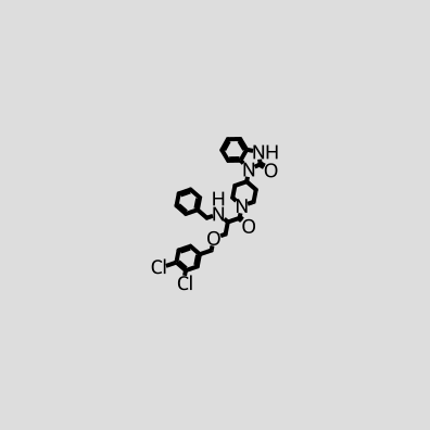 O=C(C(COCc1ccc(Cl)c(Cl)c1)NCc1ccccc1)N1CCC(n2c(=O)[nH]c3ccccc32)CC1